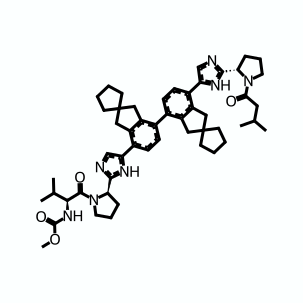 COC(=O)N[C@H](C(=O)N1CCC[C@@H]1c1ncc(-c2ccc(-c3ccc(-c4cnc([C@@H]5CCCN5C(=O)CC(C)C)[nH]4)c4c3CC3(CCCC3)C4)c3c2CC2(CCCC2)C3)[nH]1)C(C)C